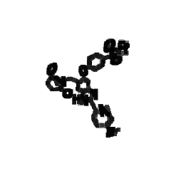 CCS(=O)(=O)c1ccc(Oc2cc3nc(-c4ccc(Br)cn4)[nH]c3cc2CN2C(=O)CCC2=O)cc1